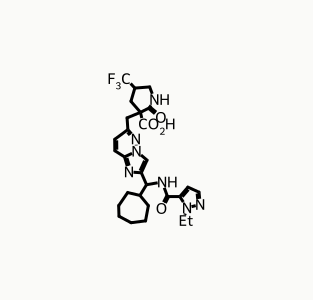 CCn1nccc1C(=O)NC(c1cn2nc(CC3(C(=O)O)CC(C(F)(F)F)CNC3=O)ccc2n1)C1CCCCCC1